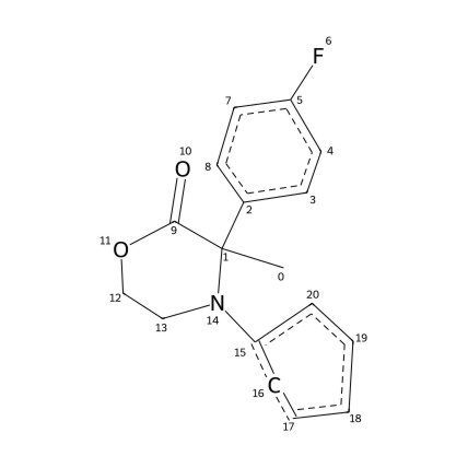 CC1(c2ccc(F)cc2)C(=O)OCCN1c1ccccc1